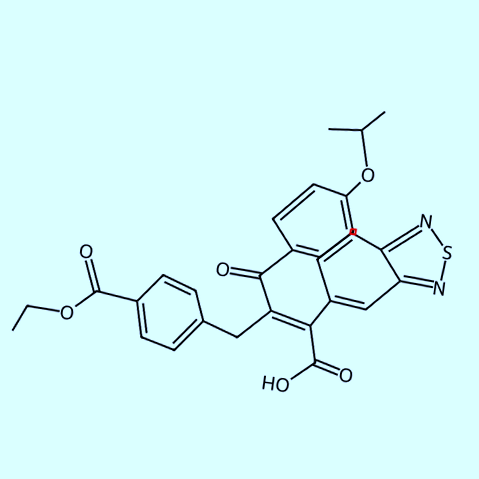 CCOC(=O)c1ccc(C/C(C(=O)c2ccc(OC(C)C)cc2)=C(\C(=O)O)c2ccc3nsnc3c2)cc1